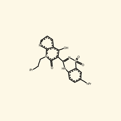 [CH2]CCc1ccc2c(c1)S(=O)(=O)N=C(c1c(O)c3cccnc3n(CCC(C)C)c1=O)N2